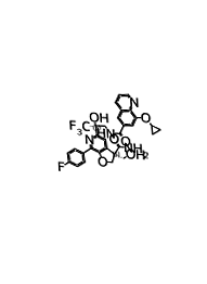 NC(=O)[C@@]1(CO)COc2c1cc([C@@](O)(CNC(=O)c1cc(OC3CC3)c3ncccc3c1)C(F)(F)F)nc2-c1ccc(F)cc1